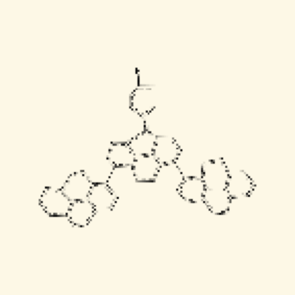 Fc1ccc(-n2c3ccc(-c4ccc5ccc6cccc7ccc4c5c67)c4ccc5c(-c6ccc7ccc8cccc9ccc6c7c89)ccc2c5c43)cc1